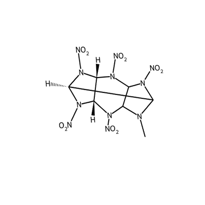 CN1C2[C@H]3N([N+](=O)[O-])[C@@H]4[C@@H](N([N+](=O)[O-])C(C1N4[N+](=O)[O-])N2[N+](=O)[O-])N3[N+](=O)[O-]